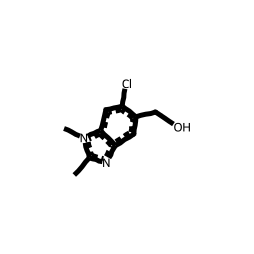 Cc1nc2cc(CO)c(Cl)cc2n1C